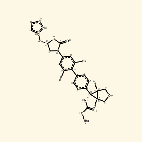 CC(C)(C)OC(=O)N[C@]1(c2ccc(-c3c(F)cc(N4C[C@H](Cn5ccnn5)OC4=O)cc3F)cn2)[C@@H]2COC[C@@H]21